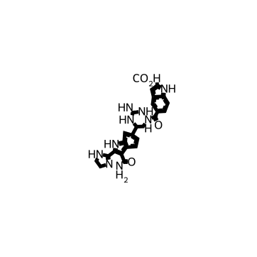 N=C(N)NC(CNC(=O)c1ccc2[nH]c(C(=O)O)cc2c1)c1ccc2c(C(N)=O)c(C3=NCCN3)[nH]c2c1